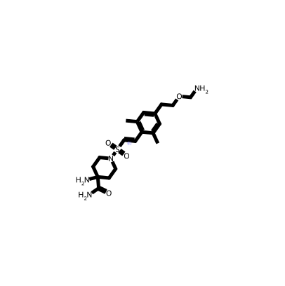 Cc1cc(CCOCN)cc(C)c1/C=C/S(=O)(=O)N1CCC(N)(C(N)=O)CC1